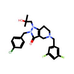 CC(C)(O)Cn1c2c(c(=O)n1Cc1ccc(Cl)cc1)CN(Cc1cc(F)cc(F)c1)CC2